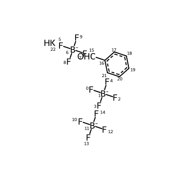 F[B-](F)(F)F.F[B-](F)(F)F.F[B-](F)(F)F.O=Cc1ccccc1.[KH]